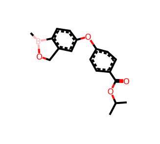 CB1OCc2cc(Oc3ccc(C(=O)OC(C)C)cc3)ccc21